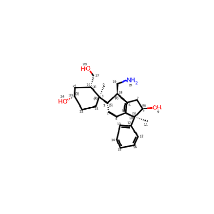 C[C@]1([C@H]2CCC3=C(C[C@@H](O)[C@@]3(C)c3ccccc3)[C@@H]2CN)CC[C@H](O)C[C@@H]1CO